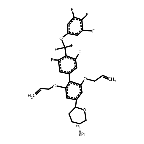 C=CCOc1cc(C2CC[C@@H](CCC)CO2)cc(OCC=C)c1-c1cc(F)c(C(F)(F)Oc2cc(F)c(F)c(F)c2)c(F)c1